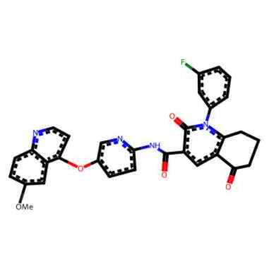 COc1ccc2nccc(Oc3ccc(NC(=O)c4cc5c(n(-c6cccc(F)c6)c4=O)CCCC5=O)nc3)c2c1